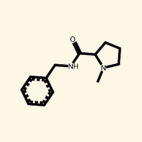 CN1CCCC1C(=O)NCc1ccccc1